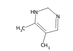 CC1=C(C)NCN=C1